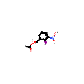 CC(=O)OCc1cccc([N+](=O)[O-])c1I